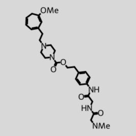 CNCC(=O)NCC(=O)Nc1ccc(CCOC(=O)N2CCN(CCC3=CC=CCC(OC)=C3)CC2)cc1